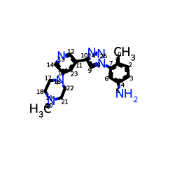 Cc1ccc(N)cc1-n1cc(-c2cncc(N3CCN(C)CC3)c2)nn1